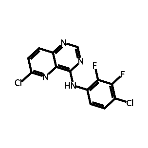 Fc1c(Cl)ccc(Nc2ncnc3ccc(Cl)nc23)c1F